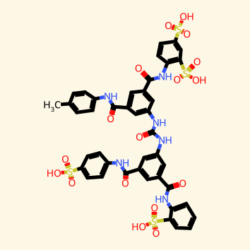 Cc1ccc(NC(=O)c2cc(NC(=O)Nc3cc(C(=O)Nc4ccc(S(=O)(=O)O)cc4)cc(C(=O)Nc4ccccc4S(=O)(=O)O)c3)cc(C(=O)Nc3ccc(S(=O)(=O)O)cc3S(=O)(=O)O)c2)cc1